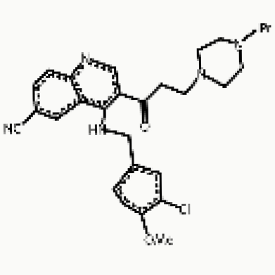 COc1ccc(CNc2c(C(=O)CCN3CCN(C(C)C)CC3)cnc3ccc(C#N)cc23)cc1Cl